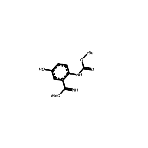 COC(=N)c1cc(O)ccc1NC(=O)OC(C)(C)C